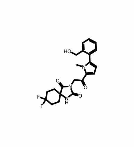 Cn1c(C(=O)CN2C(=O)NC3(CCC(F)(F)CC3)C2=O)ccc1-c1ccccc1CO